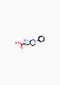 N[C@@H](CC1CCN(c2ccccc2)CC1)C(=O)O